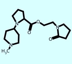 CN1CCC(N2CCCC2C(=O)OCCN2CCCC2=O)CC1